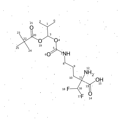 CC(C)C(OC(=O)NCCCC(N)(C(=O)O)C(F)F)OC(=O)C(C)(C)C